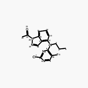 CCCN(c1nc(Cl)ncc1F)c1cccc2c1cnn2C(C)=O